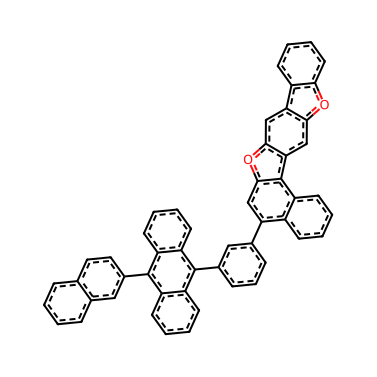 c1cc(-c2c3ccccc3c(-c3ccc4ccccc4c3)c3ccccc23)cc(-c2cc3oc4cc5c(cc4c3c3ccccc23)oc2ccccc25)c1